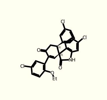 CCOc1ccc(Cl)cc1C1=C[C@@]2(C(=O)Nc3cc(Cl)ccc32)[C@H](c2cccc(Cl)c2)CC1=O